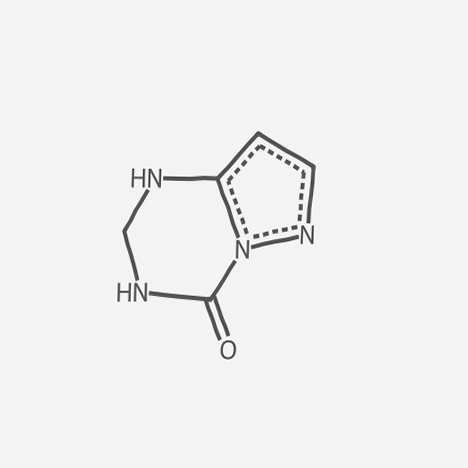 O=C1NCNc2ccnn21